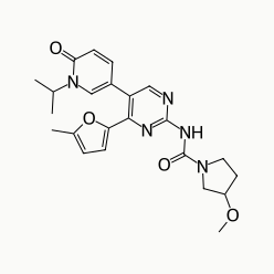 COC1CCN(C(=O)Nc2ncc(-c3ccc(=O)n(C(C)C)c3)c(-c3ccc(C)o3)n2)C1